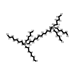 CCCCCCCC[PH](CCCCCC)(CCCCCCCC)CCCCCCCCCCCC[PH](CCCCCC)(CCCCCC)CCCCCC